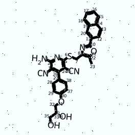 [C-]#[N+]c1c(N)nc(SCc2nc(-c3ccc4ccccc4c3)oc2C)c(C#N)c1-c1ccc(OC[C@H](O)CO)cc1